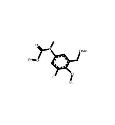 CCOc1c(Cl)cc(N(C)C(=O)OC(C)C)cc1COC